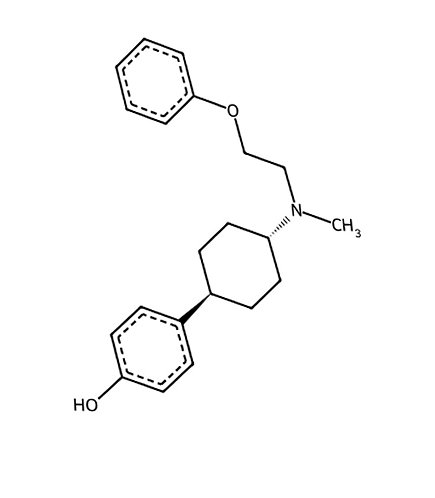 CN(CCOc1ccccc1)[C@H]1CC[C@H](c2ccc(O)cc2)CC1